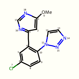 COc1cc(-c2cc(Cl)ccc2-n2c[c]nn2)ncn1